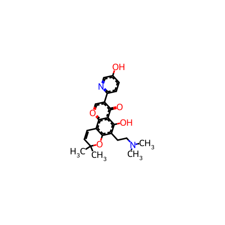 CN(C)CCc1c2c(c3occ(-c4ccc(O)cn4)c(=O)c3c1O)C=CC(C)(C)O2